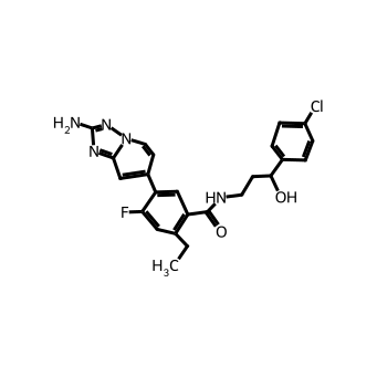 CCc1cc(F)c(-c2ccn3nc(N)nc3c2)cc1C(=O)NCCC(O)c1ccc(Cl)cc1